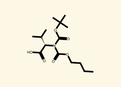 CCCCOC(=O)N(C(=O)OC(C)(C)C)[C@H](C(=O)O)C(C)C